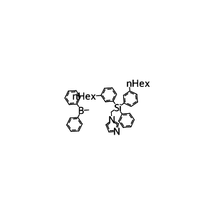 CB(c1ccccc1)c1ccccc1.CCCCCCc1cccc([Si](Cn2ccnc2)(c2ccccc2)c2cccc(CCCCCC)c2)c1